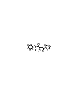 NC(CC(=O)N1CCOCC1)C(=O)OCc1ccccc1